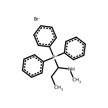 CCC(NC)[P+](c1ccccc1)(c1ccccc1)c1ccccc1.[Br-]